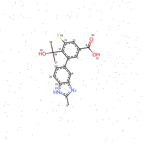 Cc1nc2cc(-c3cc(C(=O)O)cc(F)c3C(C)(C)O)ccc2[nH]1